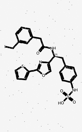 O=C(Cc1cccc(CI)c1)N[C@@H](Cc1ccc(NS(=O)(=O)O)cc1)c1coc(-c2cccs2)n1